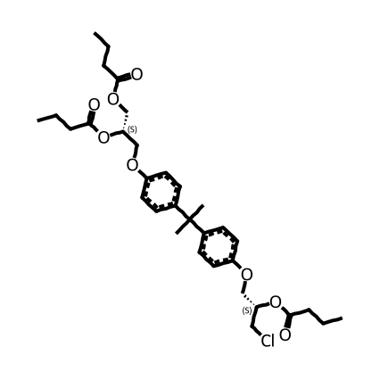 CCCC(=O)OC[C@H](COc1ccc(C(C)(C)c2ccc(OC[C@@H](CCl)OC(=O)CCC)cc2)cc1)OC(=O)CCC